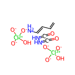 C=CC=CN.N=C=O.N=C=O.[O-][Cl+3]([O-])([O-])O.[O-][Cl+3]([O-])([O-])O